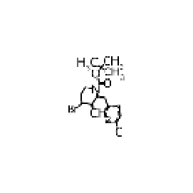 C=C1C(Br)CCN(C(=O)OC(C)(C)C)C1Cc1ccc(Cl)cc1